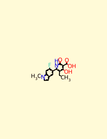 CCc1c(-c2cc3ccn(C)c3cc2F)[nH]c(=O)c(C(=O)O)c1O